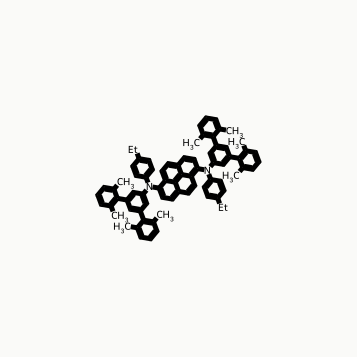 CCc1ccc(N(c2cc(-c3c(C)cccc3C)cc(-c3c(C)cccc3C)c2)c2ccc3ccc4c(N(c5ccc(CC)cc5)c5cc(-c6c(C)cccc6C)cc(-c6c(C)cccc6C)c5)ccc5ccc2c3c54)cc1